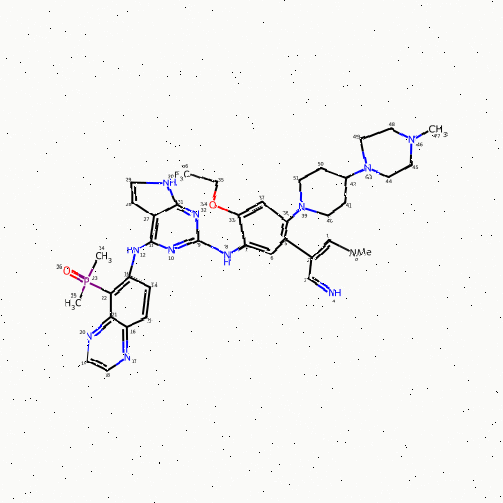 CN/C=C(\C=N)c1cc(Nc2nc(Nc3ccc4nccnc4c3P(C)(C)=O)c3cc[nH]c3n2)c(OCC(F)(F)F)cc1N1CCC(N2CCN(C)CC2)CC1